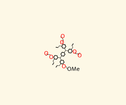 C=CCc1cc(C(c2ccc(C(c3ccc(OCC4CO4)c(CC=C)c3)c3ccc(OCC4CO4)c(CC=C)c3)cc2)c2ccc(OCC3CO3)c(CC=C)c2)ccc1OCCOC